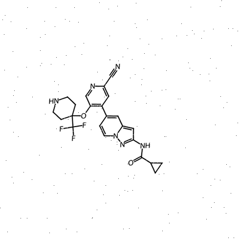 N#Cc1cc(-c2ccn3nc(NC(=O)C4CC4)cc3c2)c(OC2(C(F)(F)F)CCNCC2)cn1